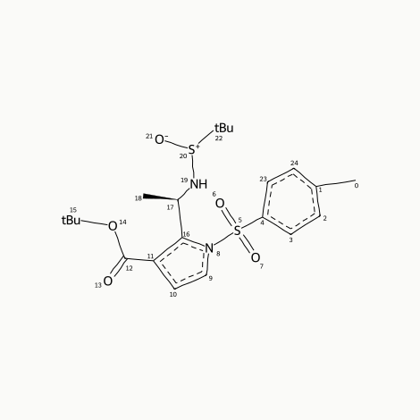 Cc1ccc(S(=O)(=O)n2ccc(C(=O)OC(C)(C)C)c2[C@@H](C)N[S+]([O-])C(C)(C)C)cc1